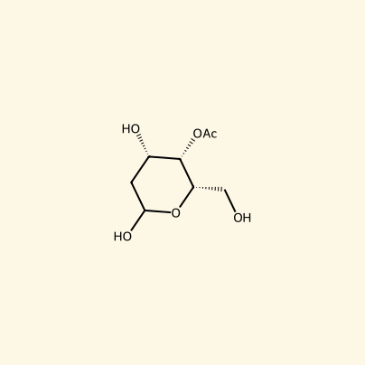 CC(=O)O[C@@H]1[C@H](CO)OC(O)C[C@@H]1O